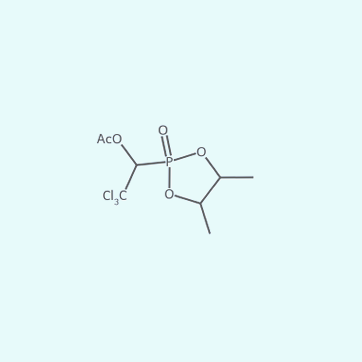 CC(=O)OC(C(Cl)(Cl)Cl)P1(=O)OC(C)C(C)O1